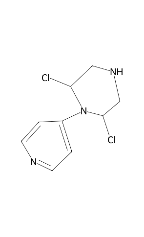 ClC1CNCC(Cl)N1c1ccncc1